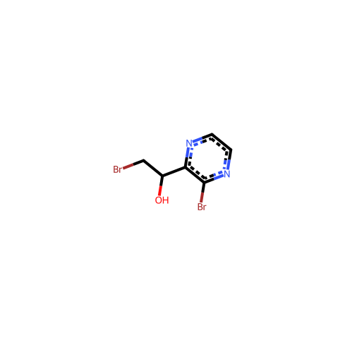 OC(CBr)c1nccnc1Br